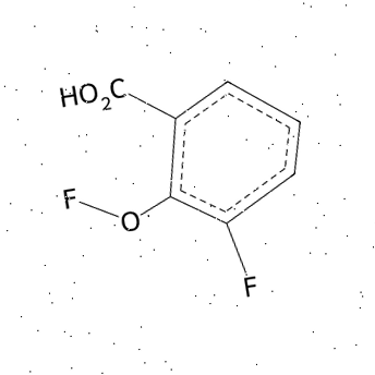 O=C(O)c1cccc(F)c1OF